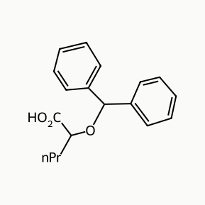 CCCC(OC(c1ccccc1)c1ccccc1)C(=O)O